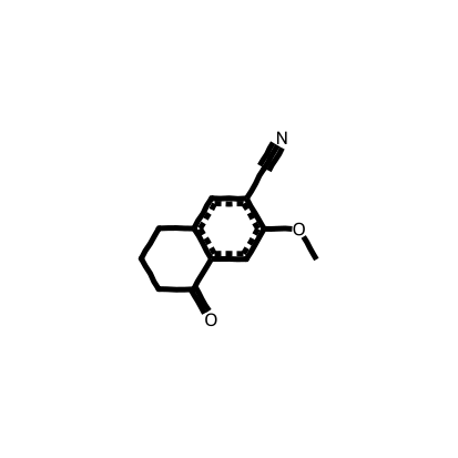 COc1cc2c(cc1C#N)CCCC2=O